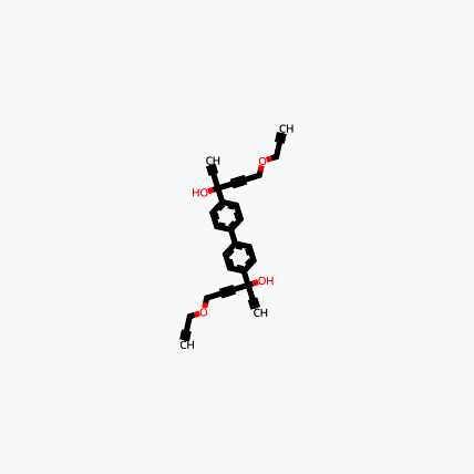 C#CCOCC#CC(O)(C#C)c1ccc(-c2ccc(C(O)(C#C)C#CCOCC#C)cc2)cc1